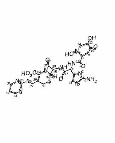 Nc1nc(C(NC(=O)c2cc(=O)c(O)cn2O)C(=O)N[C@@H]2C(=O)N3C(C(=O)O)=C(CSc4ncccn4)CS[C@H]23)cs1